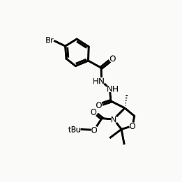 CC(C)(C)OC(=O)N1C(C)(C)OC[C@]1(C)C(=O)NNC(=O)c1ccc(Br)cc1